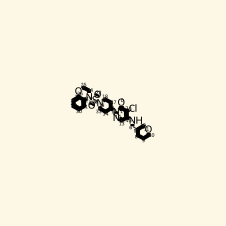 O=c1c(Cl)c(NC[C@H]2CCCOC2)cnn1C1CCN(S(=O)(=O)N2CCOc3ccccc32)CC1